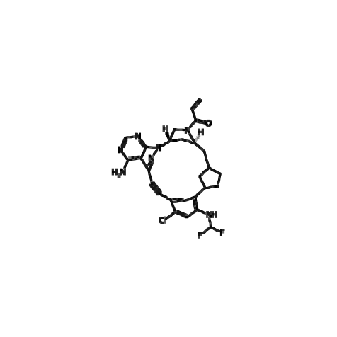 C=CC(=O)N1C[C@@H]2C[C@@H]1CC1CCC(C1)c1cc(c(Cl)cc1NC(F)F)C#Cc1nn2c2ncnc(N)c12